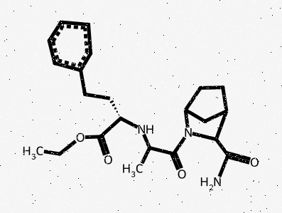 CCOC(=O)[C@H](CCc1ccccc1)NC(C)C(=O)N1C2CCC(C2)C1C(N)=O